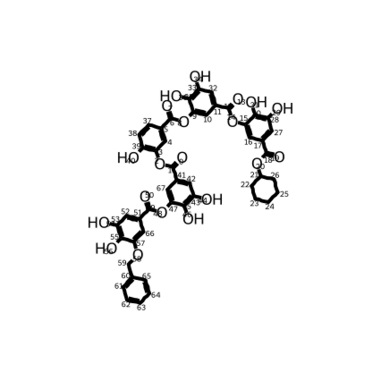 O=C(Oc1cc(C(=O)Oc2cc(C(=O)Oc3cc(C(=O)OC4CCCCC4)cc(O)c3O)cc(O)c2O)ccc1O)c1cc(O)c(O)c(OC(=O)c2cc(O)c(O)c(OCc3ccccc3)c2)c1